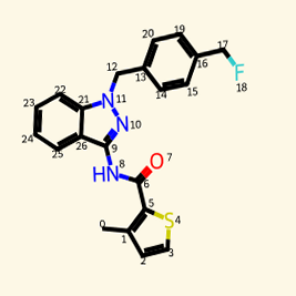 Cc1ccsc1C(=O)Nc1nn(Cc2ccc(CF)cc2)c2ccccc12